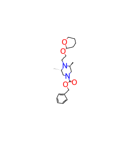 C[C@H]1CN(C(=O)OCc2ccccc2)C[C@H](C)N1CCOC1CCCCO1